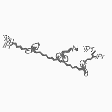 CCC(C)C(CCCCCOC(=O)CCCCCCCC(CCCCCCCC(=O)OCCCC(CCC(C)C)C(C)C)OC(=O)CCCN(C)C)C(C)C